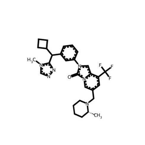 C[C@@H]1CCCCN1Cc1cc(C(F)(F)F)c2cn(-c3cccc(C(c4nncn4C)C4CCC4)c3)c(=O)n2c1